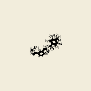 [2H]c1c([2H])c(C([2H])([2H])[2H])c([2H])c([2H])c1C(=O)Nc1cc2cc(-c3cncn3C)ccc2nn1